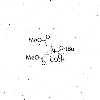 COC(=O)CCN(C(=O)OC(C)(C)C)C(CC(=O)OC)C(=O)O